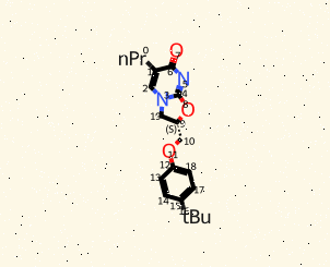 CCCc1cn2c(nc1=O)O[C@H](COc1ccc(C(C)(C)C)cc1)C2